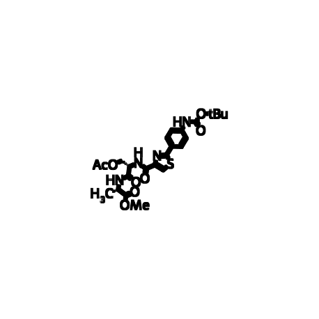 COC(=O)[C@H](C)NC(=O)[C@H](COC(C)=O)NC(=O)c1csc(-c2ccc(NC(=O)OC(C)(C)C)cc2)n1